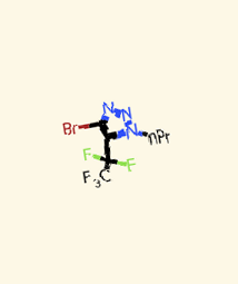 CCCn1nnc(Br)c1C(F)(F)C(F)(F)F